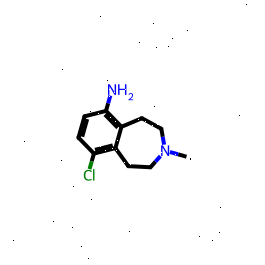 CN1CCc2c(N)ccc(Cl)c2CC1